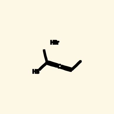 Br.CC=C=C(C)S